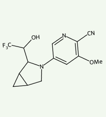 COc1cc(N2CC3CC3C2C(O)C(F)(F)F)cnc1C#N